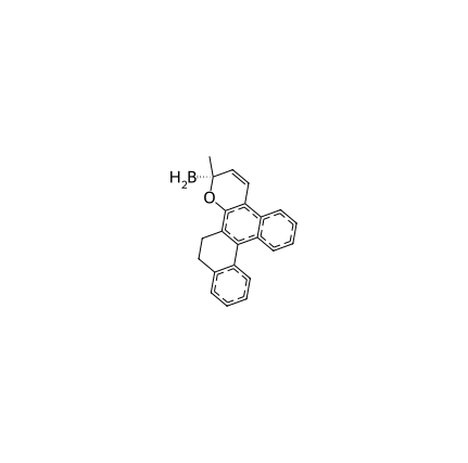 B[C@]1(C)C=Cc2c(c3c(c4ccccc24)-c2ccccc2CC3)O1